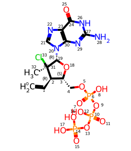 C=C[C@@H]1[C@@H](COP(=O)(O)OP(=O)(O)OP(=O)(O)O)O[C@@H](n2cnc3c(=O)[nH]c(N)nc32)[C@]1(C)Cl